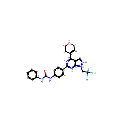 O=C(Nc1ccccc1)Nc1ccc(-c2nc(C3=CCOCC3)c3cnn(CC(F)(F)F)c3n2)cc1